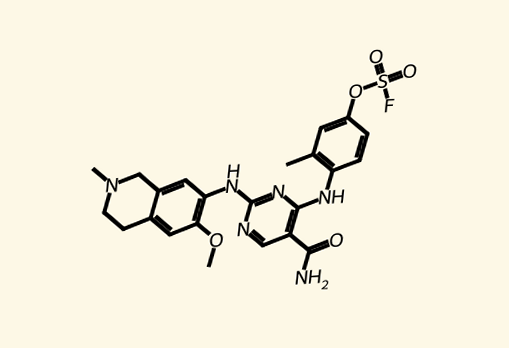 COc1cc2c(cc1Nc1ncc(C(N)=O)c(Nc3ccc(OS(=O)(=O)F)cc3C)n1)CN(C)CC2